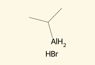 Br.C[CH](C)[AlH2]